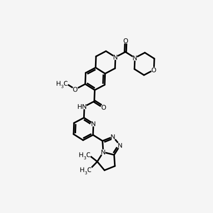 COc1cc2c(cc1C(=O)Nc1cccc(-c3nnc4n3C(C)(C)CC4)n1)CN(C(=O)N1CCOCC1)CC2